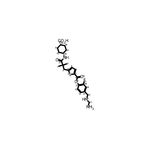 CC(C)(Cc1ccc(C(=O)Oc2ccc(CNCN)cc2F)s1)C(=O)N[C@H]1CC[C@@H](C(=O)O)CC1